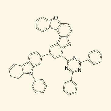 C1=Cc2c(n(-c3ccccc3)c3cc(-c4cc(-c5nc(-c6ccccc6)nc(-c6ccccc6)n5)c5sc6ccc7oc8ccccc8c7c6c5c4)ccc23)CC1